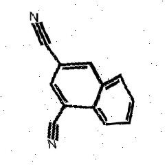 N#Cc1cc(C#N)c2ccccc2c1